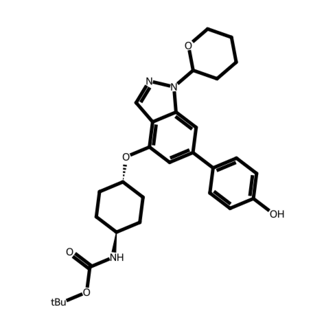 CC(C)(C)OC(=O)N[C@H]1CC[C@H](Oc2cc(-c3ccc(O)cc3)cc3c2cnn3C2CCCCO2)CC1